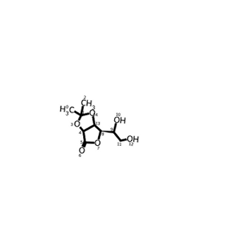 CC1(C)OC2C(=O)O[C@H](C(O)CO)C2O1